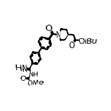 COC(=O)NC(=N)c1ccc(-c2ccc(C(=O)N3CCC(CC(=O)OCC(C)C)CC3)cc2)cc1